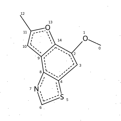 COc1cc2scnc2c2cc(C)oc12